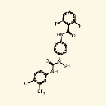 O=C(Nc1ccc(N(S)C(=O)Nc2ccc(Cl)c(C(F)(F)F)c2)cc1)c1c(F)cccc1F